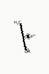 CCCCCCCCCCCCCCCCCCCCCC(=O)O.O=C([O-])[O-].[Ca+2]